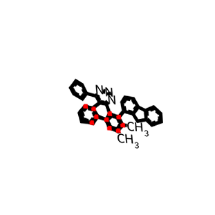 Cc1cc(-c2ccccc2)c(-c2nnnc(-c3ccccc3)c2-c2ccccc2-c2ccccc2)c(-c2cccc3c2Cc2ccccc2-3)c1C